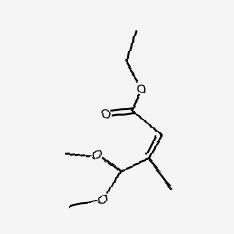 CCOC(=O)/C=C(/C)C(OC)OC